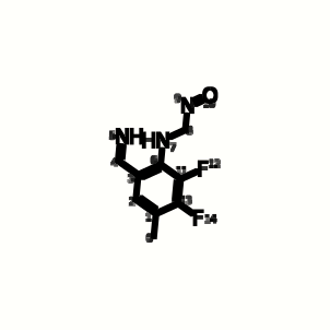 Cc1cc(C=N)c(NCN=O)c(F)c1F